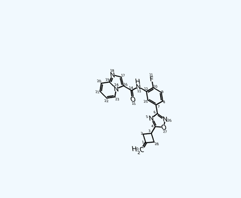 C=C1CC(c2nc(-c3ccc(F)c(NC(=O)c4cnc5ccccn45)c3)no2)C1